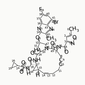 Cc1cc(C(=O)N[C@H]2CCCCC/C=C\[C@@H]3C[C@@]3(C(=O)NS(=O)(=O)C3CC3)NC(=O)[C@@H]3C[C@@H](Oc4nc5cc(F)cc(Br)c5nc4C)CN3C2=O)no1